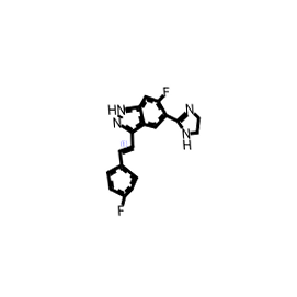 Fc1ccc(/C=C/c2n[nH]c3cc(F)c(C4=NCCN4)cc23)cc1